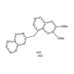 COc1cc2cncc(Cc3cc4ccccc4cn3)c2cc1OC.Cl.Cl